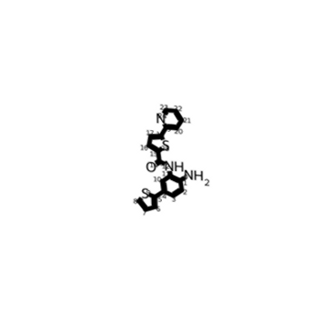 Nc1ccc(-c2cccs2)cc1NC(=O)c1ccc(-c2ccccn2)s1